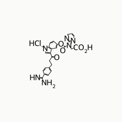 Cl.Cn1cc(C(=O)CCc2ccc(C(=N)N)cc2)c2cc(OC(=O)N(CC(=O)O)c3ncccn3)ccc21